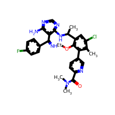 CCOc1c(C(C)Nc2ncnc(N)c2C(=N)c2ccc(F)cc2)cc(Cl)c(C)c1-c1ccc(C(=O)N(C)C)nc1